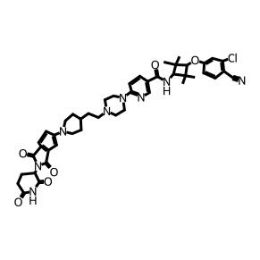 CC1(C)C(NC(=O)c2ccc(N3CCN(CCC4CCN(c5ccc6c(c5)C(=O)N(C5CCC(=O)NC5=O)C6=O)CC4)CC3)nc2)C(C)(C)C1Oc1ccc(C#N)c(Cl)c1